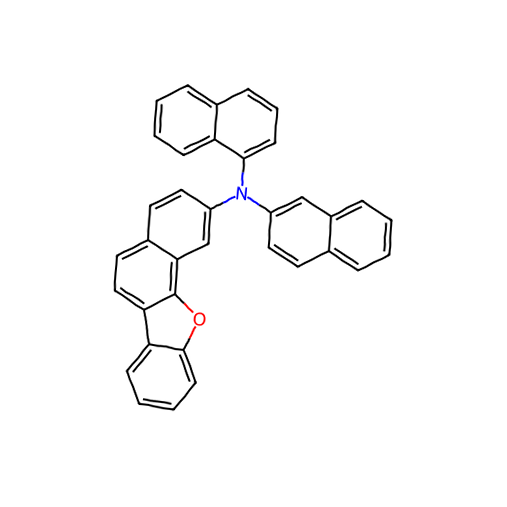 c1ccc2cc(N(c3ccc4ccc5c6ccccc6oc5c4c3)c3cccc4ccccc34)ccc2c1